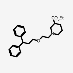 CCOC(=O)C1CCCN(CCOCCC(c2ccccc2)c2ccccc2)C1